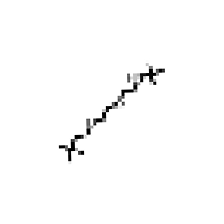 CC(C)(C)CCOCCOCCNC(C)(C)C